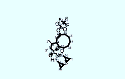 C[C@H]([C@@H](C)C1/C=C(/OS(=O)(=O)C(F)(F)F)CCCCCC1)S(=O)(=O)N(PC1CC1)PC1CC1